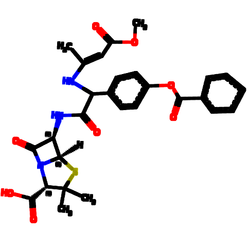 COC(=O)C=C(C)NC(C(=O)N[C@@H]1C(=O)N2[C@@H]1SC(C)(C)[C@@H]2C(=O)O)c1ccc(OC(=O)c2ccccc2)cc1